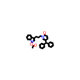 CC(=O)On1cc(CCCn2cc(C(c3ccccc3)c3ccccc3)ccc2=O)c2ccccc21